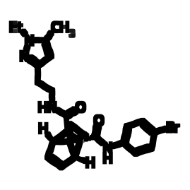 CCn1nc(CCNC(=O)[C@H]2[C@H](C(=O)Nc3ccc(Br)cc3)[C@@H]3C=C[C@H]2C32CC2)cc1C